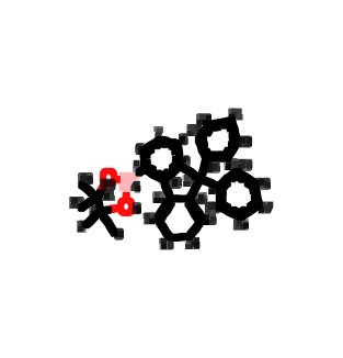 CC1(C)OB(c2cccc3c2C2=CCCC=C2C3(c2ccccc2)c2ccccc2)OC1(C)C